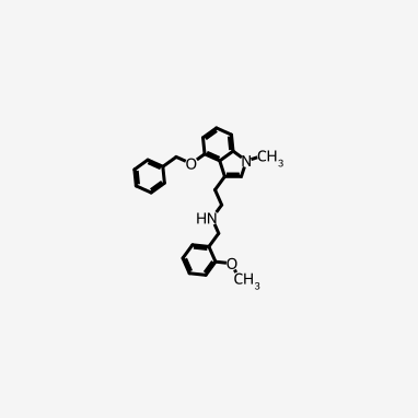 COc1ccccc1CNCCc1cn(C)c2cccc(OCc3ccccc3)c12